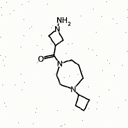 NN1CC(C(=O)N2CCCN(C3CCC3)CC2)C1